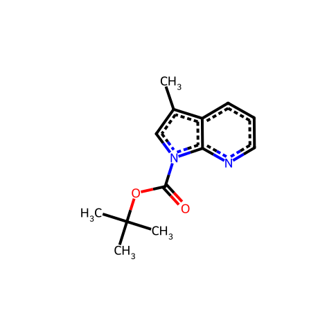 Cc1cn(C(=O)OC(C)(C)C)c2ncccc12